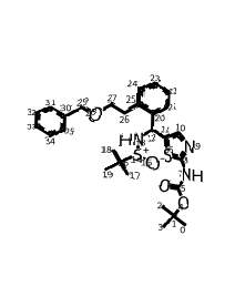 CC(C)(C)OC(=O)Nc1ncc(C(N[S@+]([O-])C(C)(C)C)c2ccccc2CCOCc2ccccc2)s1